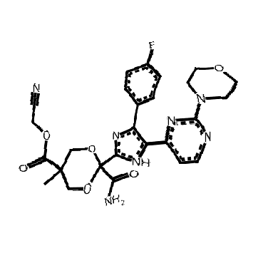 CC1(C(=O)OCC#N)COC(C(N)=O)(c2nc(-c3ccc(F)cc3)c(-c3ccnc(N4CCOCC4)n3)[nH]2)OC1